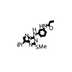 C=CC(=O)Nc1cccc(Nc2nc(SC)nc3c(C(C)C)cnn23)c1